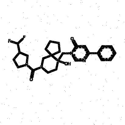 O=C(N1CCC(C(F)F)C1)N1CCC(O)(Cn2cnc(-c3ccccc3)cc2=O)C2(CCCC2)C1